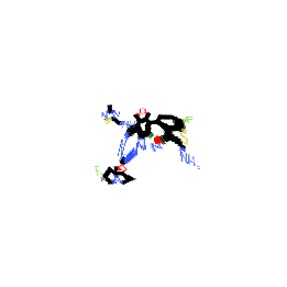 Cc1nsc(CNc2nc(OC[C@@]34CCCN3C[C@H](F)C4)nc3c(Cl)c(-c4ccc(F)c5sc(N)c(C#N)c45)c4c(c23)COC4)n1